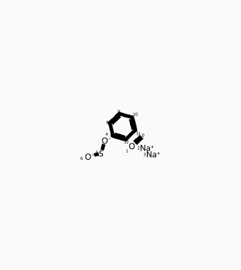 C=O.[Na+].[Na+].[O-]S[O-].c1ccccc1